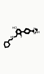 Cl.Fc1c(CNCCC2CCCCC2)cccc1-c1ccc(-c2nc[nH]n2)cc1